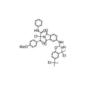 CCCC(Nc1ccc2c(c1)C(=O)N(C(Cl)(C(=O)Nc1ccccc1)C(=O)c1ccc(OC)cc1)C2=O)Oc1ccc(C(C)(C)CC)cc1C(C)(C)CC